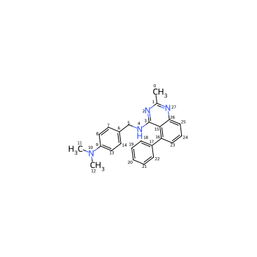 Cc1nc(NCc2ccc(N(C)C)cc2)c2c(-c3ccccc3)cccc2n1